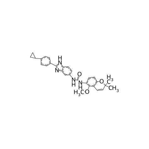 COc1c(NC(=O)Nc2ccc3[nH]c(-c4ccc(C5CC5)cc4)nc3c2)ccc2c1C=CC(C)(C)O2